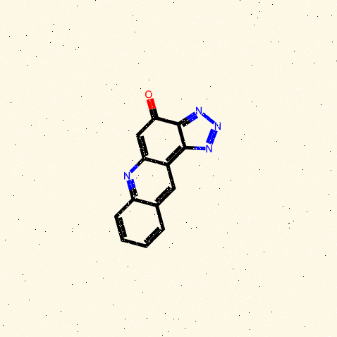 O=C1C=c2nc3ccccc3cc2=C2N=NN=C12